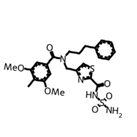 COc1cc(C(=O)N(CCCc2ccccc2)Cc2csc(C(=O)NS(N)(=O)=O)n2)cc(OC)c1C